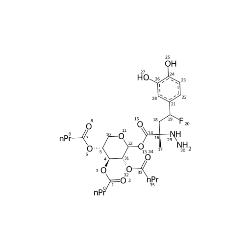 CCCC(=O)O[C@H]1[C@H](OC(=O)CCC)COC(OC(=O)[C@](C)(CC(F)c2ccc(O)c(O)c2)NN)[C@@H]1OC(=O)CCC